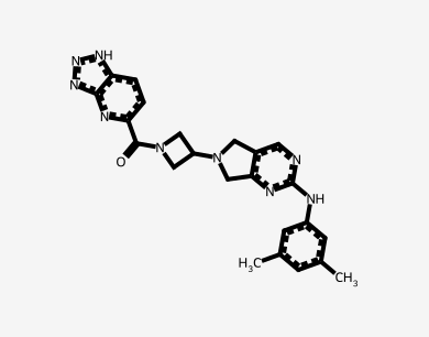 Cc1cc(C)cc(Nc2ncc3c(n2)CN(C2CN(C(=O)c4ccc5[nH]nnc5n4)C2)C3)c1